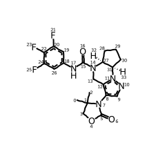 CC1(C)COC(=O)N1c1cnn2c1CN(C(=O)Nc1cc(F)c(F)c(F)c1)[C@H]1CCC[C@H]12